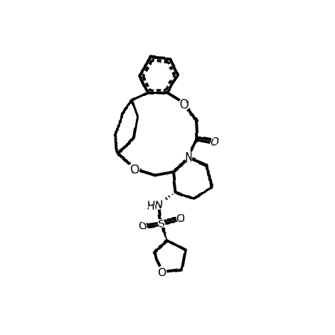 O=C1COc2ccccc2C2CCC(CC2)OCC2[C@@H](NS(=O)(=O)[C@H]3CCOC3)CCCN12